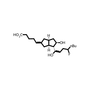 CCCCC(F)C/C=C(/O)[C@@H]1[C@H]2C/C(=C/CCCC(=O)O)C[C@H]2C[C@H]1O